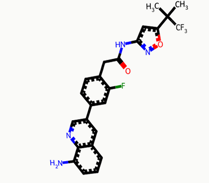 CC(C)(c1cc(NC(=O)Cc2ccc(-c3cnc4c(N)cccc4c3)cc2F)no1)C(F)(F)F